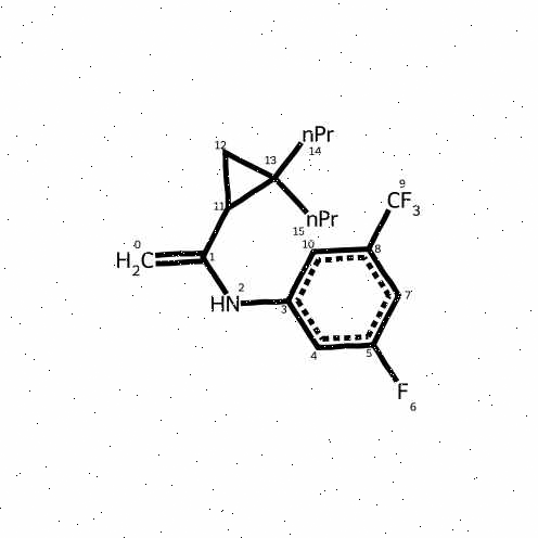 C=C(Nc1cc(F)cc(C(F)(F)F)c1)C1CC1(CCC)CCC